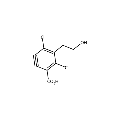 O=C(O)c1c#cc(Cl)c(CCO)c1Cl